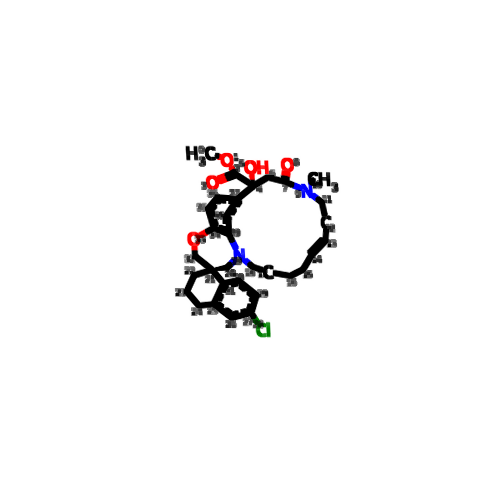 COC(=O)[C@]1(O)CC(=O)N(C)CC/C=C/CCCCN2C[C@@]3(CCCc4cc(Cl)ccc43)COc3ccc1cc32